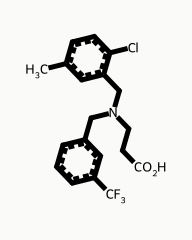 Cc1ccc(Cl)c(CN(CCC(=O)O)Cc2cccc(C(F)(F)F)c2)c1